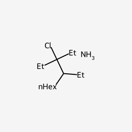 CCCCCCC(CC)C(Cl)(CC)CC.N